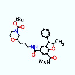 CNC(=O)c1cc(C(=O)NCCCC2CN(C(=O)OC(C)(C)C)CCO2)cc2c1OC(C)C2c1ccccc1